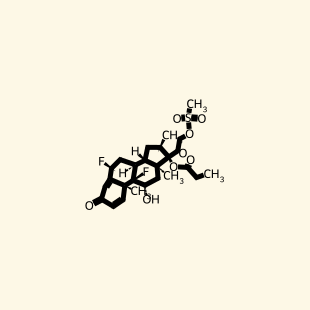 CCC(=O)O[C@]1(C(=O)COS(C)(=O)=O)[C@H](C)C[C@H]2[C@@H]3C[C@H](F)C4=CC(=O)C=C[C@]4(C)[C@@]3(F)[C@@H](O)C[C@@]21C